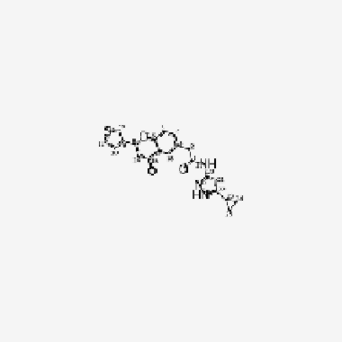 O=C(Cc1ccc2oc(-c3ccsc3)cc(=O)c2c1)Nc1cc(C2CC2)[nH]n1